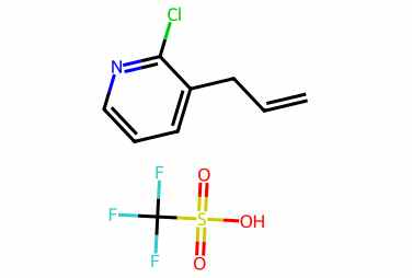 C=CCc1cccnc1Cl.O=S(=O)(O)C(F)(F)F